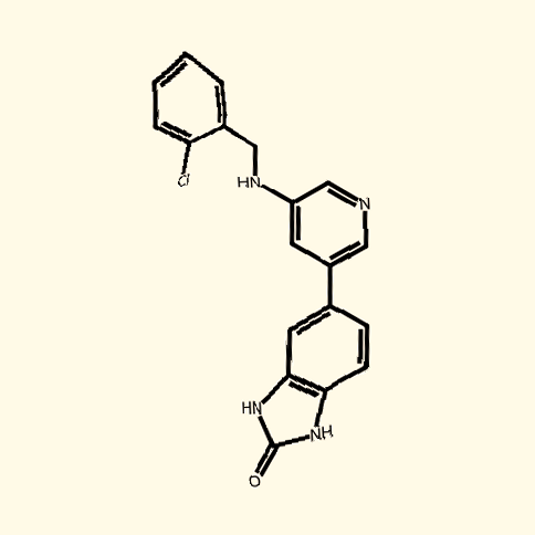 O=c1[nH]c2ccc(-c3cncc(NCc4ccccc4Cl)c3)cc2[nH]1